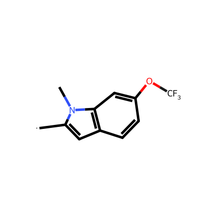 [CH2]c1cc2ccc(OC(F)(F)F)cc2n1C